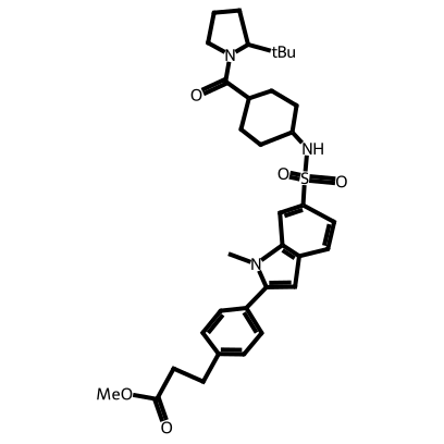 COC(=O)CCc1ccc(-c2cc3ccc(S(=O)(=O)NC4CCC(C(=O)N5CCCC5C(C)(C)C)CC4)cc3n2C)cc1